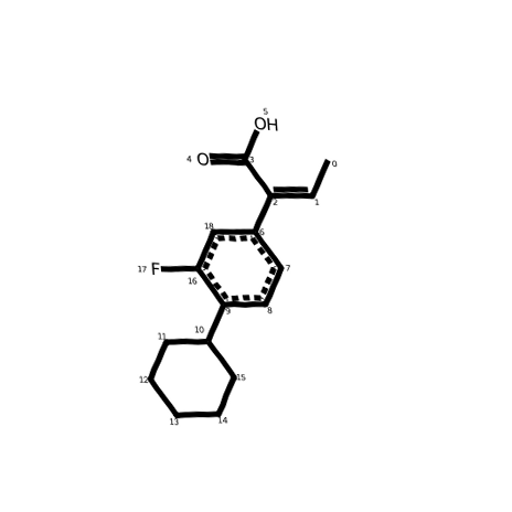 CC=C(C(=O)O)c1ccc(C2CCCCC2)c(F)c1